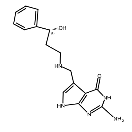 Nc1nc2[nH]cc(CNCC[C@@H](O)c3ccccc3)c2c(=O)[nH]1